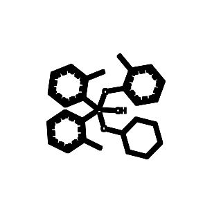 Cc1ccccc1OP(O)(OC1CCCCC1)(c1ccccc1C)c1ccccc1C